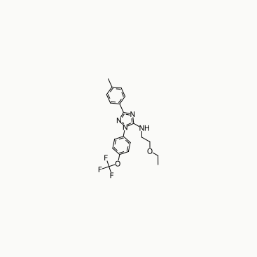 CCOCCNc1nc(-c2ccc(C)cc2)nn1-c1ccc(OC(F)(F)F)cc1